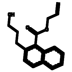 C=CCOC(=O)c1c(CCCO)ccc2ccccc12